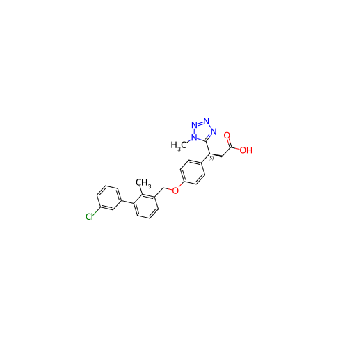 Cc1c(COc2ccc([C@H](CC(=O)O)c3nnnn3C)cc2)cccc1-c1cccc(Cl)c1